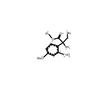 COc1ccc(C(N)(CC(C)(C)C)C(=O)OC(C)C)c(F)c1.Cl